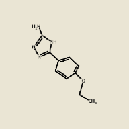 CCOc1ccc(-c2nnc(N)[nH]2)cc1